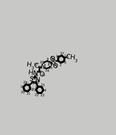 Cc1ccc(S(=O)(=O)N2CCN(C(C)C(=O)Nc3nc(-c4ccccc4)c(-c4ccccc4)s3)CC2)cc1